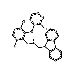 O=Cc1nccnc1Sc1c(Cl)ccc(Br)c1CNCC1c2ccccc2-c2ccccc21